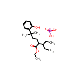 CCOC(=O)C(CCC(C)(C)c1ccccc1O)C(CC)CC.O=[PH](O)O